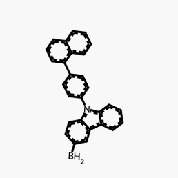 Bc1ccc2c(c1)c1ccccc1n2-c1ccc(-c2cccc3ccccc23)cc1